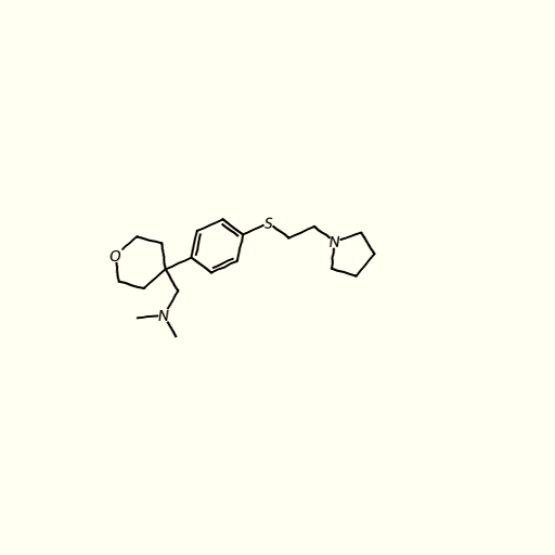 CN(C)CC1(c2ccc(SCCN3CCCC3)cc2)CCOCC1